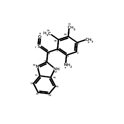 Cc1cc(N)c(C(=S=O)c2nc3ccccc3[nH]2)c(C)c1C